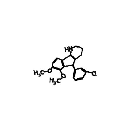 COc1ccc2c(c1OC)C(c1cccc(Cl)c1)C1CCCNC21